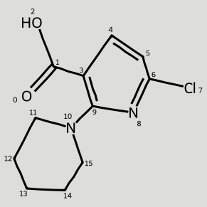 O=C(O)c1ccc(Cl)nc1N1CCCCC1